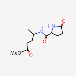 COC(=O)CCC(C)NC(=O)[C@@H]1CCC(=O)N1